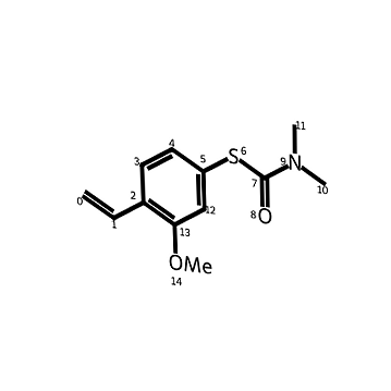 C=Cc1ccc(SC(=O)N(C)C)cc1OC